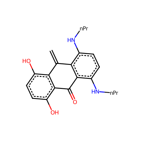 C=C1c2c(O)ccc(O)c2C(=O)c2c(NCCC)ccc(NCCC)c21